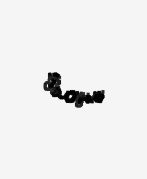 O=C(Nc1ccc(CC2CCN(C(=O)c3nccs3)CC2)cc1)C1CN(c2cccnn2)C1